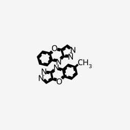 Cc1ccc2oc3cnnc-3nc2c1.c1ccc2oc3cnnc-3nc2c1